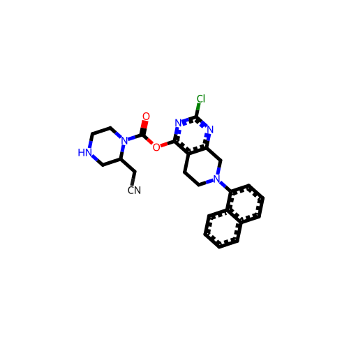 N#CCC1CNCCN1C(=O)Oc1nc(Cl)nc2c1CCN(c1cccc3ccccc13)C2